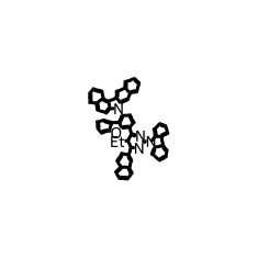 CCC1C(c2ccc(-n3c4cc5ccccc5cc4c4c5ccccc5ccc43)c3c2oc2ccccc23)=NC(n2c3ccccc3c3ccccc32)=NC1c1ccc2ccccc2c1